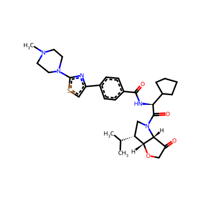 CC(C)[C@@H]1CN(C(=O)[C@@H](NC(=O)c2ccc(-c3csc(N4CCN(C)CC4)n3)cc2)C2CCCC2)[C@@H]2C(=O)CO[C@@H]21